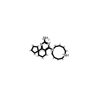 Nc1nc(N2CCCCNCCCC2)c2c(n1)C1(CCCC1)CCC2